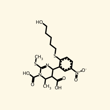 CSC1=NC(c2cc([N+](=O)[O-])ccc2SCCCCCO)C(C(=O)O)C(C)N1C(=O)O